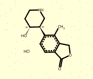 Cc1c([C@@H]2CNCC[C@H]2O)ccc2c1COC2=O.Cl